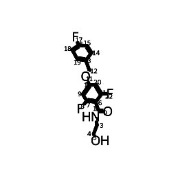 O=C(NCCO)c1c(F)cc(OCc2ccc(F)cc2)cc1F